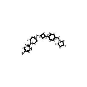 Fc1cnc(N2CCN(C[C@H]3C[C@H](c4ccc(CN5CCCC5)cc4)C3)CC2)nc1